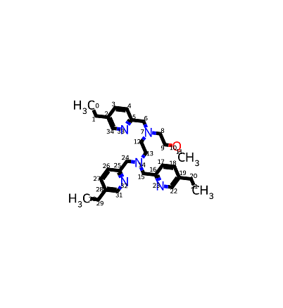 CCc1ccc(CN(CCOC)CCN(Cc2ccc(CC)cn2)Cc2ccc(CC)cn2)nc1